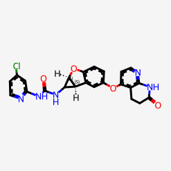 O=C1CCc2c(Oc3ccc4c(c3)[C@H]3C(NC(=O)Nc5cc(Cl)ccn5)[C@H]3O4)ccnc2N1